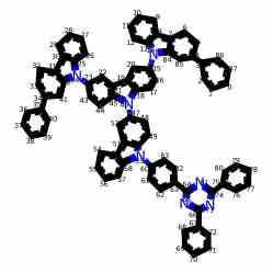 c1ccc(-c2ccc3c4ccccc4n(-c4ccc5c(c4)c4cc(-n6c7ccccc7c7ccc(-c8ccccc8)cc76)ccc4n5-c4ccc5c(c4)c4ccccc4n5-c4ccc(-c5nc(-c6ccccc6)nc(-c6ccccc6)n5)cc4)c3c2)cc1